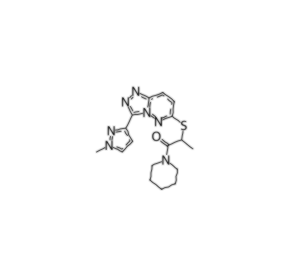 CC(Sc1ccc2nnc(-c3ccn(C)n3)n2n1)C(=O)N1CCCCC1